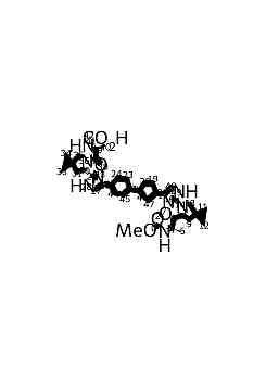 COC(=O)N[C@@H](C)C(=O)C1CC2(CC2)CN1c1nc(-c2ccc(-c3ccc(-c4c[nH]c([C@@H]5CC6(CC6)CN5C(=O)[C@H](C)NC(=O)O)n4)cc3)cc2)c[nH]1